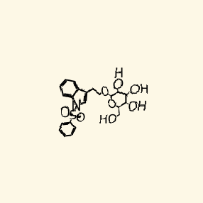 O=S(=O)(c1ccccc1)n1cc(CCO[C@H]2O[C@H](CO)[C@@H](O)[C@H](O)[C@H]2O)c2ccccc21